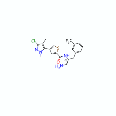 Cc1c(Cl)nn(C)c1-c1csc(C(=O)N[C@H](CN)Cc2cccc(C(F)(F)F)c2)c1